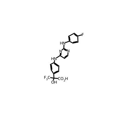 O=C(O)C(O)(c1ccc(Nc2ccnc(Nc3ccc(F)cc3)n2)cc1)C(F)(F)F